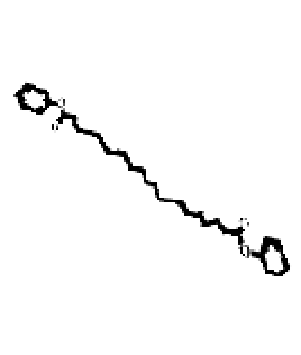 O=C(CCCCCCCCCCCCCCCCC(=O)Oc1ccccc1)Oc1ccccc1